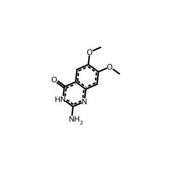 COc1cc2nc(N)[nH]c(=O)c2cc1OC